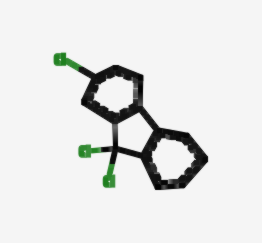 Clc1ccc2c(c1)C(Cl)(Cl)c1ccccc1-2